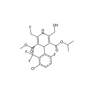 COC(=O)C1=C(CF)NC(CO)=C(C(=O)OC(C)C)C1c1c(F)ccc(Cl)c1C(F)(F)F